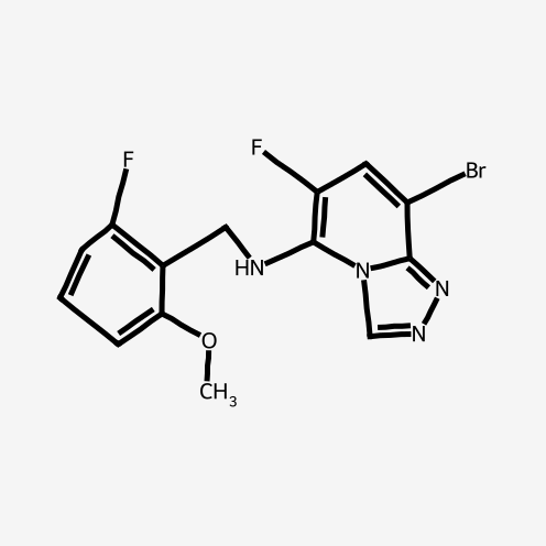 COc1cccc(F)c1CNc1c(F)cc(Br)c2nncn12